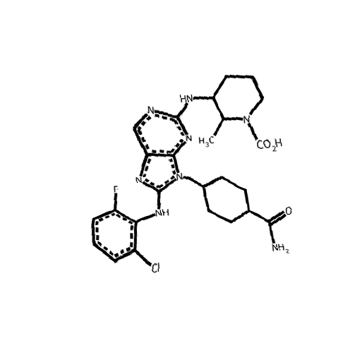 CC1C(Nc2ncc3nc(Nc4c(F)cccc4Cl)n(C4CCC(C(N)=O)CC4)c3n2)CCCN1C(=O)O